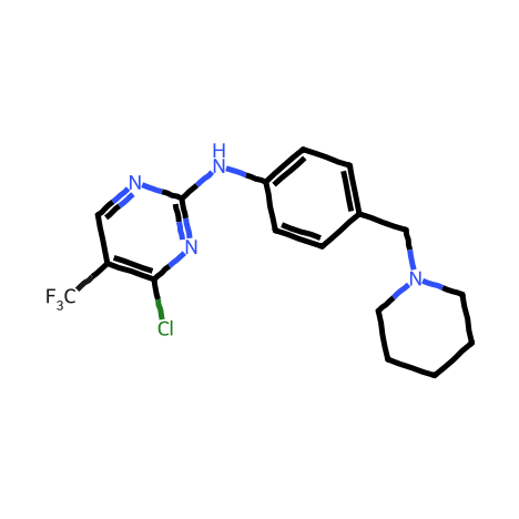 FC(F)(F)c1cnc(Nc2ccc(CN3CCCCC3)cc2)nc1Cl